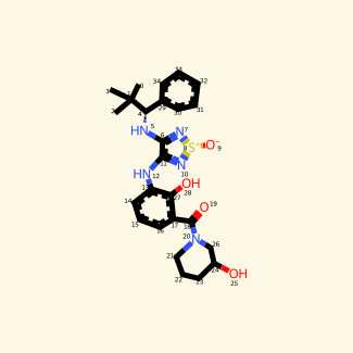 CC(C)(C)[C@@H](Nc1n[s+]([O-])nc1Nc1cccc(C(=O)N2CCCC(O)C2)c1O)c1ccccc1